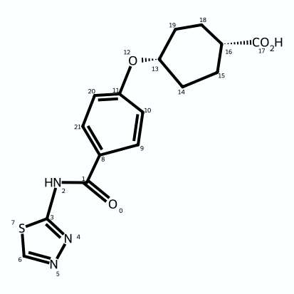 O=C(Nc1nncs1)c1ccc(O[C@H]2CC[C@@H](C(=O)O)CC2)cc1